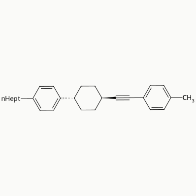 CCCCCCCc1ccc([C@H]2CC[C@H](C#Cc3ccc(C)cc3)CC2)cc1